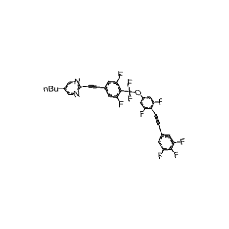 CCCCc1cnc(C#Cc2cc(F)c(C(F)(F)Oc3cc(F)c(C#Cc4cc(F)c(F)c(F)c4)c(F)c3)c(F)c2)nc1